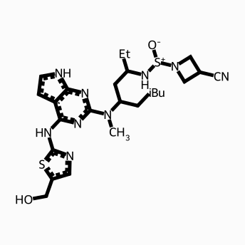 CCC(C)CC(CC(CC)N[S+]([O-])N1CC(C#N)C1)N(C)c1nc(Nc2ncc(CO)s2)c2cc[nH]c2n1